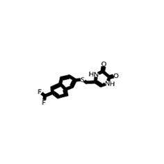 O=c1[nH]cc(CSc2ccc3cc(C(F)F)ccc3c2)[nH]c1=O